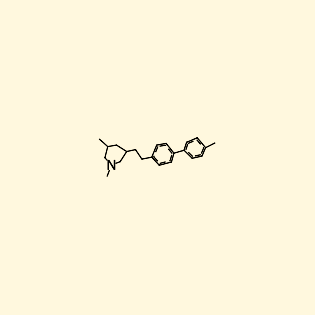 Cc1ccc(-c2ccc(CCC3CC(C)CN(C)C3)cc2)cc1